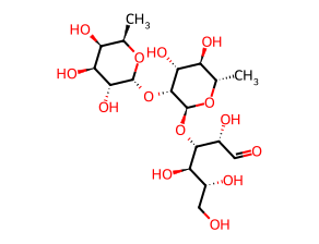 C[C@@H]1O[C@@H](O[C@@H]([C@H](O)[C@H](O)CO)[C@H](O)C=O)[C@H](O[C@H]2O[C@H](C)[C@H](O)[C@H](O)[C@H]2O)[C@H](O)[C@H]1O